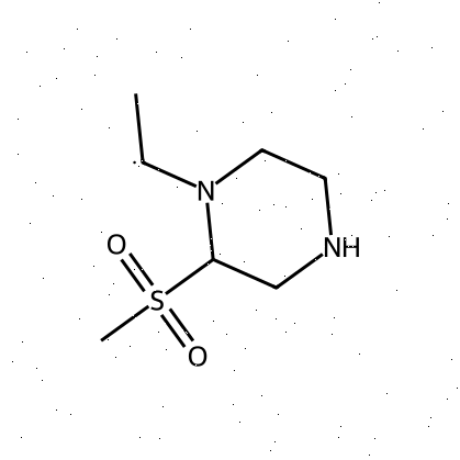 C[CH]N1CCNCC1S(C)(=O)=O